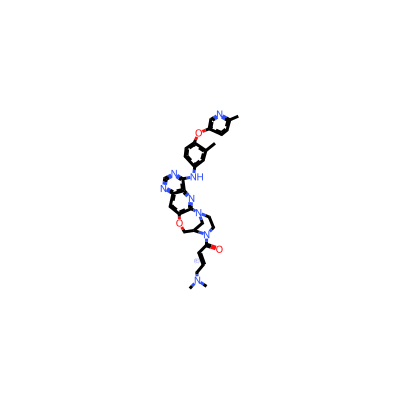 Cc1ccc(Oc2ccc(Nc3ncnc4cc5c(nc34)N3CCN(C(=O)/C=C/CN(C)C)C(CO5)C3)cc2C)cn1